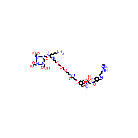 Cc1cc(OCCCC(=O)NCCCOCCOCCOCCCNC(=O)C(CCCCN)NC(=O)CN2CCN(CC(=O)O)CCN(CC(=O)O)CCN(CC(=O)O)CC2)cc(C)c1S(=O)(=O)NC(CNC(=O)c1ccc2c(cnn2CCCNc2ncc[nH]2)c1)C(=O)O